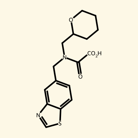 O=C(O)C(=O)N(Cc1ccc2scnc2c1)CC1CCCCO1